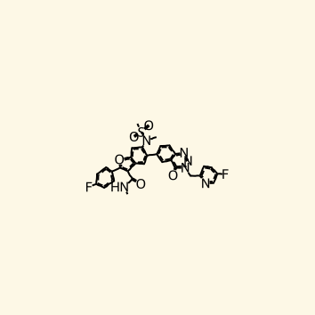 CNC(=O)c1c(-c2ccc(F)cc2)oc2cc(N(C)S(C)(=O)=O)c(-c3ccc4nnn(Cc5ccc(F)cn5)c(=O)c4c3)cc12